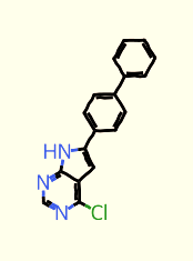 Clc1ncnc2[nH]c(-c3ccc(-c4ccccc4)cc3)cc12